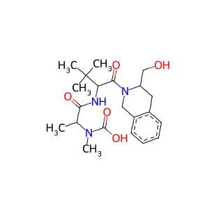 CC(C(=O)NC(C(=O)N1Cc2ccccc2CC1CO)C(C)(C)C)N(C)C(=O)O